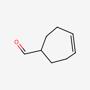 O=CC1CCC=CCC1